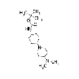 CN(C)C1CCN(C2CCC(NC(=O)OC(C)(C)C)CC2)CC1